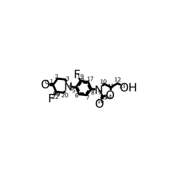 O=C1CCN(c2ccc(N3CC(CO)OC3=O)cc2F)C[C@H]1F